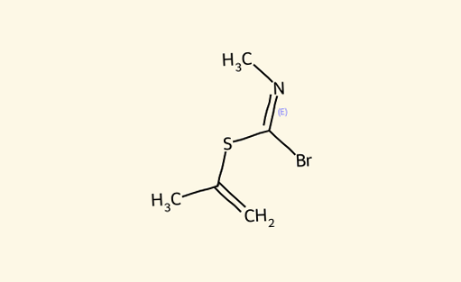 C=C(C)S/C(Br)=N\C